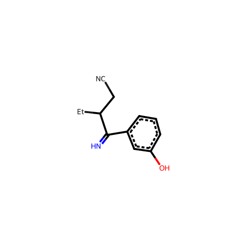 CCC(CC#N)C(=N)c1cccc(O)c1